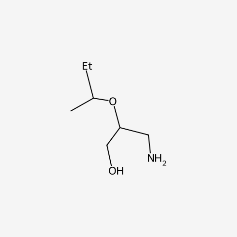 CCC(C)OC(CN)CO